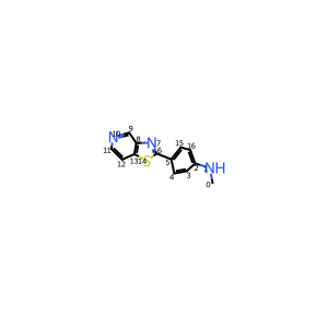 CNc1ccc(-c2nc3cnccc3s2)cc1